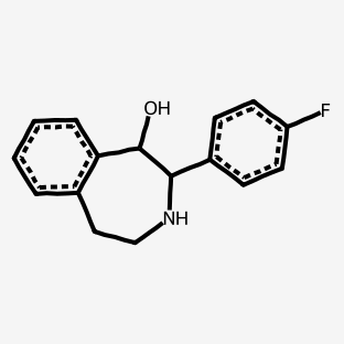 OC1c2ccccc2CCNC1c1ccc(F)cc1